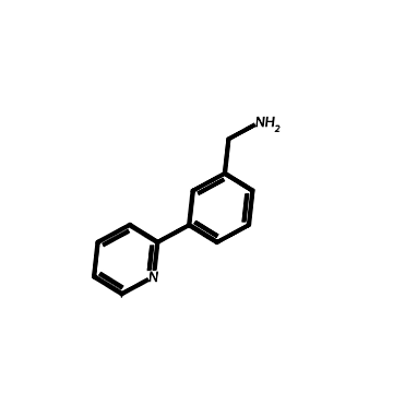 NCc1cccc(-c2ccc[c]n2)c1